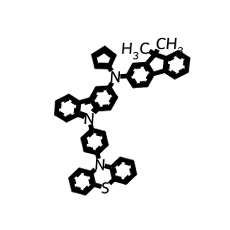 CC1(C)c2ccccc2-c2ccc(N(C3=CC=C=C3)c3ccc4c(c3)c3ccccc3n4-c3ccc(N4c5ccccc5Sc5ccccc54)cc3)cc21